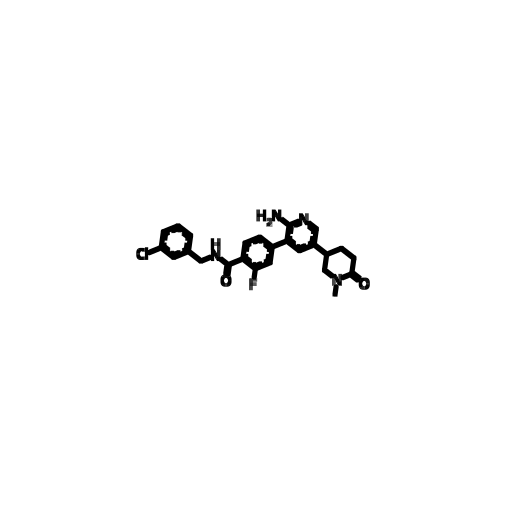 CN1CC(c2cnc(N)c(-c3ccc(C(=O)NCc4cccc(Cl)c4)c(F)c3)c2)CCC1=O